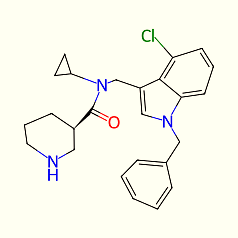 O=C([C@@H]1CCCNC1)N(Cc1cn(Cc2ccccc2)c2cccc(Cl)c12)C1CC1